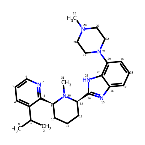 CC(C)c1cccnc1[C@@H]1CCC[C@H](c2nc3cccc(N4CCN(C)CC4)c3[nH]2)N1C